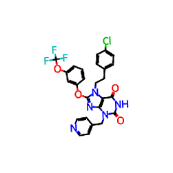 O=c1[nH]c(=O)n(Cc2ccncc2)c2nc(Oc3cccc(OC(F)(F)F)c3)n(CCc3ccc(Cl)cc3)c12